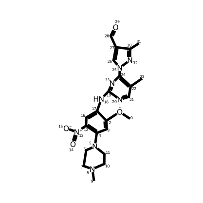 COc1cc(N2CCN(C)CC2)c([N+](=O)[O-])cc1Nc1ncc(C)c(-n2cc(C=O)c(C)n2)n1